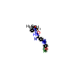 Cc1cs/c(=N\C(=O)NCC(C#N)c2ccc(-c3ncn(-c4ccc(OC(F)(F)F)cc4)n3)cc2)n1-c1ccccc1C(C)C